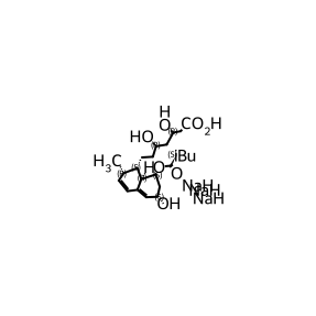 CC[C@H](C)C(=O)O[C@H]1C[C@H](O)C=C2C=C[C@H](C)[C@H](CC[C@@H](O)C[C@@H](O)CC(=O)O)[C@H]21.[NaH].[NaH].[NaH]